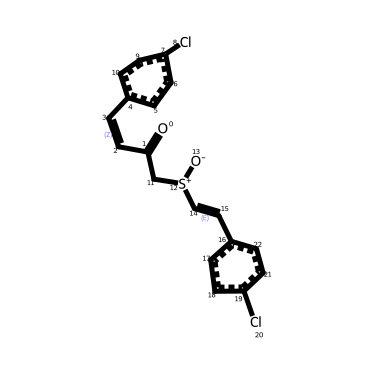 O=C(/C=C\c1ccc(Cl)cc1)C[S+]([O-])/C=C/c1ccc(Cl)cc1